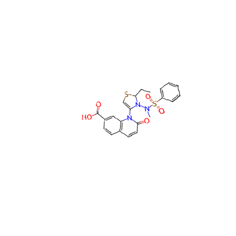 CCC1SC=C(n2c(=O)ccc3ccc(C(=O)O)cc32)N1N(C)S(=O)(=O)c1ccccc1